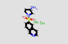 Cl.Cl.N[C@@H]1CCN(S(=O)(=O)c2ccc3cnccc3c2)C1